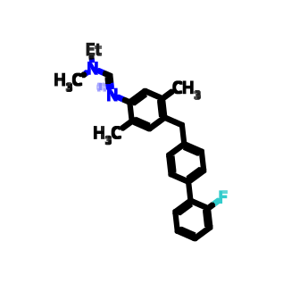 CCN(C)/C=N/c1cc(C)c(Cc2ccc(-c3ccccc3F)cc2)cc1C